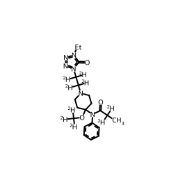 [2H]C([2H])([2H])OC1(N(C(=O)C([2H])([2H])C)c2ccccc2)CCN(C([2H])([2H])C([2H])([2H])n2nnn(CC)c2=O)CC1